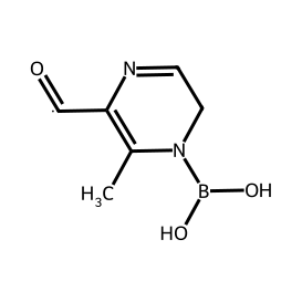 CC1=C([C]=O)N=CCN1B(O)O